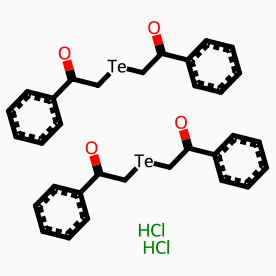 Cl.Cl.O=C(C[Te]CC(=O)c1ccccc1)c1ccccc1.O=C(C[Te]CC(=O)c1ccccc1)c1ccccc1